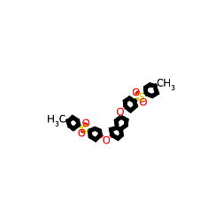 Cc1ccc(S(=O)(=O)c2ccc(Oc3ccc4ccc(Oc5ccc(S(=O)(=O)c6ccc(C)cc6)cc5)cc4c3)cc2)cc1